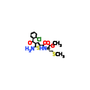 COC(=O)[C@H](CCSC)NC(=O)c1cc(C(=O)c2ccccc2Cl)c(N)s1